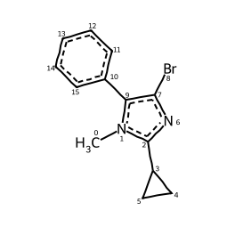 Cn1c(C2CC2)nc(Br)c1-c1ccccc1